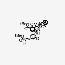 COc1c(CC(NC(=O)CN2CCN(CCNC(=O)OC(C)(C)C)CC2=O)B2OC3CC4CC(C4(C)C)C3(C)O2)cccc1C(=O)OC(C)(C)C